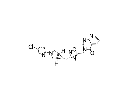 O=c1c2cccnc2ncn1Cc1nc(CC2[C@H]3CN(c4ccc(Cl)cn4)C[C@@H]23)no1